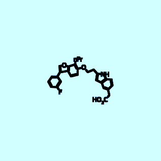 CCCc1c(OCCc2cc3cc(CC(=O)O)ccc3[nH]2)ccc2c(-c3cccc(F)c3)coc12